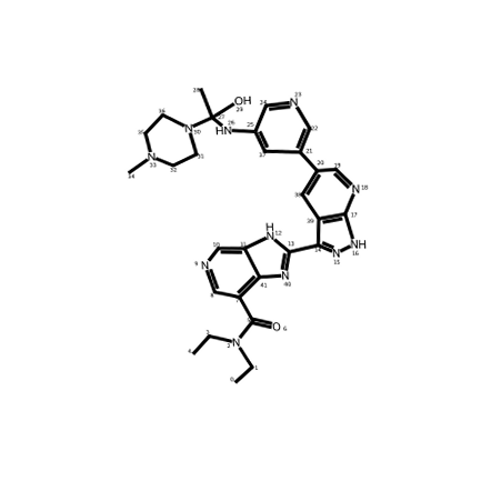 CCN(CC)C(=O)c1cncc2[nH]c(-c3n[nH]c4ncc(-c5cncc(NC(C)(O)N6CCN(C)CC6)c5)cc34)nc12